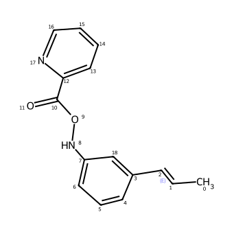 C/C=C/c1cccc(NOC(=O)c2ccccn2)c1